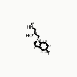 CNC[C@@H](O)Cn1ccc2cc(F)ccc21